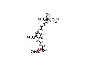 Cc1cc(CCCCCCC(C)(C)C(=O)O)ccc1CCCCC1(OC=O)CC1